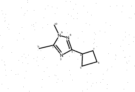 Cc1nc(C2CCC2)nn1C